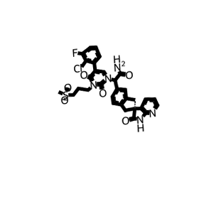 CS(=O)(=O)CCCn1c(=O)c(-c2cccc(F)c2Cl)cn(C(C(N)=O)c2ccc3c(c2)C[C@@]2(C3)C(=O)Nc3ncccc32)c1=O